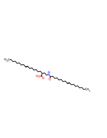 CCCCCCCCC=CCCCCCCCC(=O)NCCC(CCCCCCC=CCCCCCCCC)C(=O)O